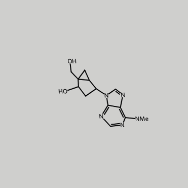 CNc1ncnc2c1ncn2C1CC(O)C2(CO)CC12